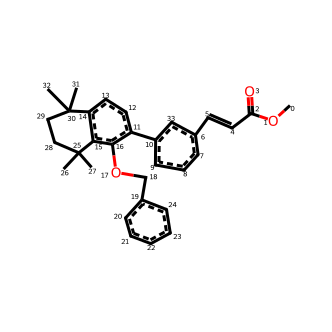 COC(=O)C=Cc1cccc(-c2ccc3c(c2OCc2ccccc2)C(C)(C)CCC3(C)C)c1